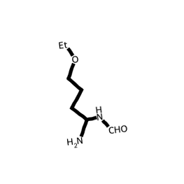 CCOCCCC(N)NC=O